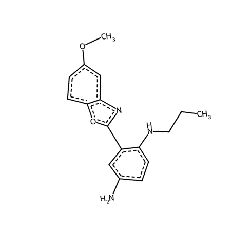 CCCNc1ccc(N)cc1-c1nc2cc(OC)ccc2o1